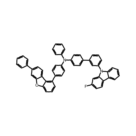 Fc1ccc2c3ccccc3n(-c3cccc(-c4ccc(N(c5ccccc5)c5ccc(-c6cccc7oc8cc(-c9ccccc9)ccc8c67)cc5)cc4)c3)c2c1